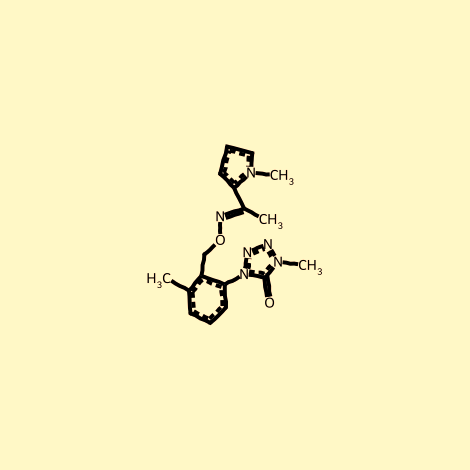 CC(=NOCc1c(C)cccc1-n1nnn(C)c1=O)c1cccn1C